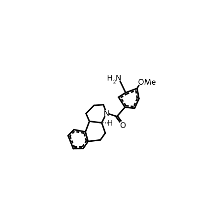 COc1ccc(C(=O)N2CCCC3c4ccccc4CC[C@@H]32)cc1N